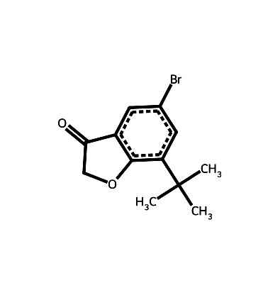 CC(C)(C)c1cc(Br)cc2c1OCC2=O